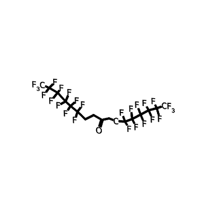 O=C(CCC(F)(F)C(F)(F)C(F)(F)C(F)(F)C(F)(F)C(F)(F)F)CCC(F)(F)C(F)(F)C(F)(F)C(F)(F)C(F)(F)C(F)(F)F